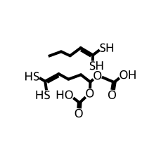 CCCC=C(S)S.O=C(O)OC(CCC=C(S)S)OC(=O)O